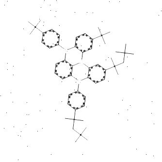 CC(C)(C)CC(C)(C)c1ccc(N2c3ccc(C(C)(C)CC(C)(C)C)cc3B3c4cc(C(C)(C)C)ccc4N(c4ccc(C(C)(C)C)cc4)c4cccc2c43)cc1